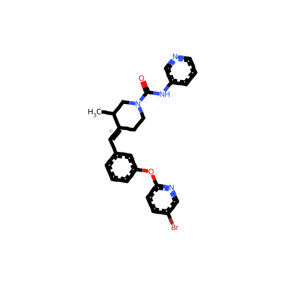 CC1CN(C(=O)Nc2cccnc2)CC/C1=C\c1cccc(Oc2ccc(Br)cn2)c1